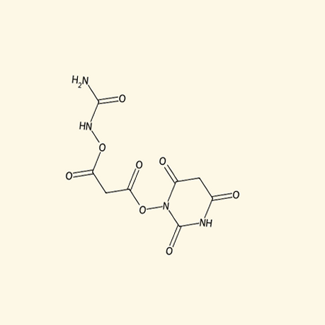 NC(=O)NOC(=O)CC(=O)ON1C(=O)CC(=O)NC1=O